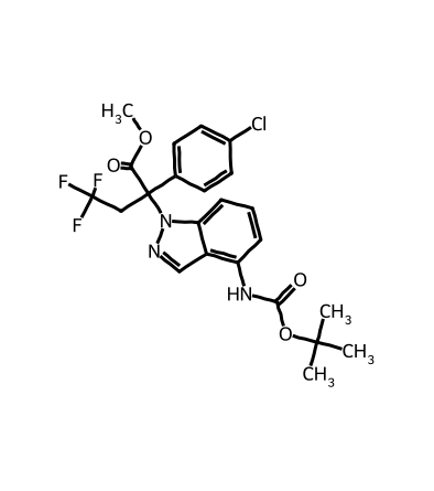 COC(=O)C(CC(F)(F)F)(c1ccc(Cl)cc1)n1ncc2c(NC(=O)OC(C)(C)C)cccc21